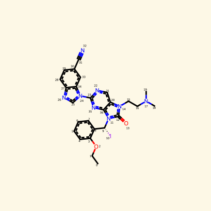 CCOc1ccccc1[C@@H](I)n1c(=O)n(CCN(C)C)c2cnc(-n3cnc4ccc(C#N)cc43)nc21